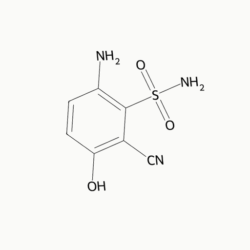 N#Cc1c(O)ccc(N)c1S(N)(=O)=O